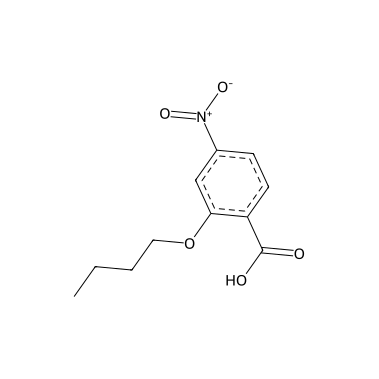 CCCCOc1cc([N+](=O)[O-])ccc1C(=O)O